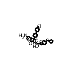 NC1CCN(C(=O)[C@H](NC(=O)C(=O)c2cc3ccc(OC4CCCC4)cc3s2)C(F)(F)c2ccc(-c3ccc(Cl)cc3)cc2)CC1